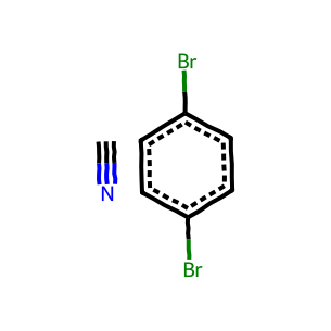 Brc1ccc(Br)cc1.C#N